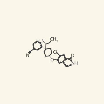 CC[C@@H](N)[C@]1(c2cccc(C#N)c2)CC[C@@H](Oc2cc3cc[nH]c(=O)c3cc2Cl)CC1